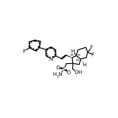 NS(=O)(=O)CC1(CO)C[C@@H]2CC(F)(F)CC[C@H]2[C@@H]1C=Cc1ccc(-c2cccc(F)c2)cn1